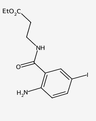 CCOC(=O)CCNC(=O)c1cc(I)ccc1N